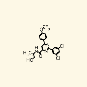 C[C@@H](CO)NC(=O)c1cc(-c2ccc(OC(F)(F)F)cc2)nc(-c2cc(Cl)cc(Cl)c2)n1